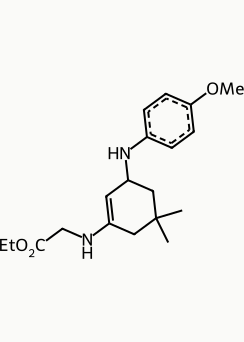 CCOC(=O)CNC1=CC(Nc2ccc(OC)cc2)CC(C)(C)C1